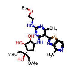 CCOCCNc1nc(C)c(-c2nc3c(C)nccc3s2)c(N[C@@H]2C[C@H](C(O)(COC)COC)[C@@H](O)[C@H]2O)n1